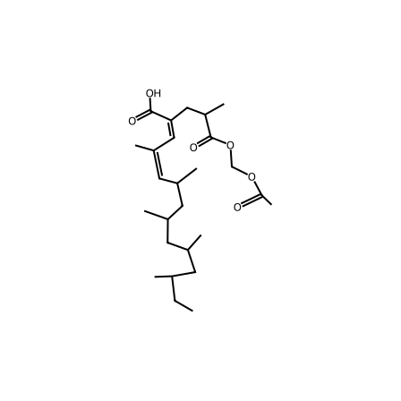 CCC(C)CC(C)CC(C)CC(C)C=C(C)C=C(CC(C)C(=O)OCOC(C)=O)C(=O)O